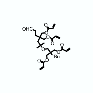 C=CC(=O)OCC(CCC=O)(COC(=O)C=C)CC(C)(C)OCC(COC(=O)C=C)(COC(=O)C=C)C(C)(C)C